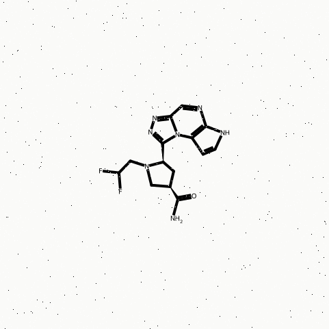 NC(=O)[C@@H]1C[C@H](c2nnc3cnc4[nH]ccc4n23)N(CC(F)F)C1